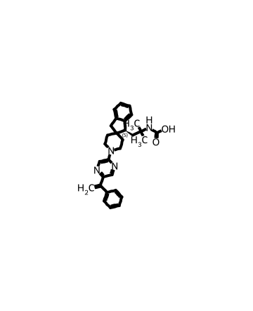 C=C(c1ccccc1)c1cnc(N2CCC3(CC2)Cc2ccccc2[C@H]3CC(C)(C)NC(=O)O)cn1